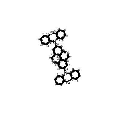 c1ccc2c(c1)Sc1ccccc1N2c1cc2cnc3cc(N4c5ccccc5Sc5ccccc54)cc4cnc(c1)c2c43